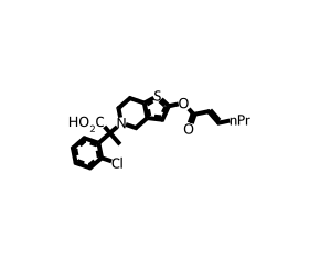 CCCC=CC(=O)Oc1cc2c(s1)CCN(C(C)(C(=O)O)c1ccccc1Cl)C2